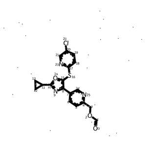 O=COCc1ccc(-c2nc(C3CC3)oc2Sc2ccc(Cl)cn2)cn1